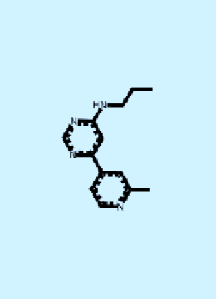 CCCNc1cc(-c2ccnc(C)c2)ncn1